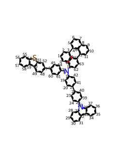 c1ccc(-c2cccc3cccc(-c4ccc(N(c5ccc(-c6ccc(-n7c8ccccc8c8ccccc87)cc6)cc5)c5ccc(-c6ccc7c(c6)sc6ccccc67)cc5)cc4)c23)cc1